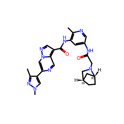 Cc1ncc(NC(=O)CN2C[C@H]3CC[C@@H]2C3)cc1NC(=O)c1cnn2cc(-c3cn(C)nc3C)ncc12